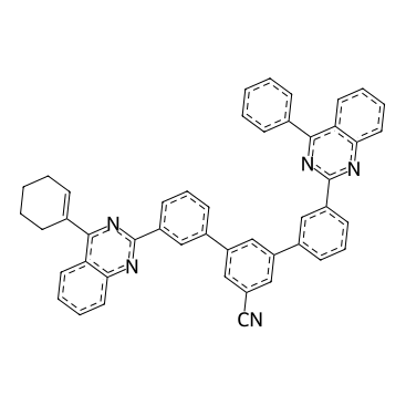 N#Cc1cc(-c2cccc(-c3nc(C4=CCCCC4)c4ccccc4n3)c2)cc(-c2cccc(-c3nc(-c4ccccc4)c4ccccc4n3)c2)c1